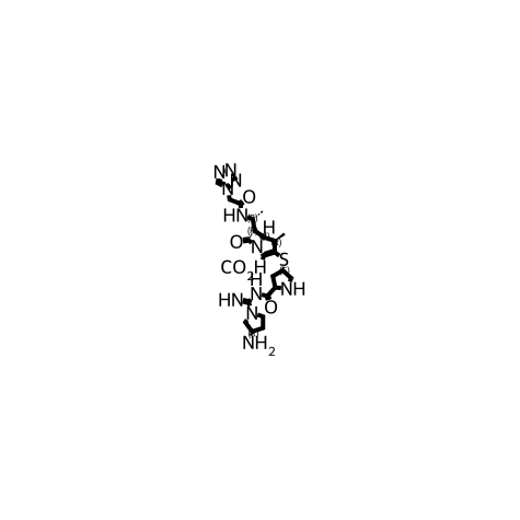 C[C@@H](NC(=O)Cn1cnnn1)[C@H]1C(=O)N2C(C(=O)O)=C(S[C@@H]3CNC(C(=O)NC(=N)N4CC[C@@H](N)C4)C3)[C@H](C)[C@H]12